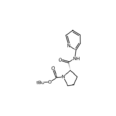 CC(C)(C)OC(=O)N1CCC[C@H]1C(=O)Nc1ccccn1